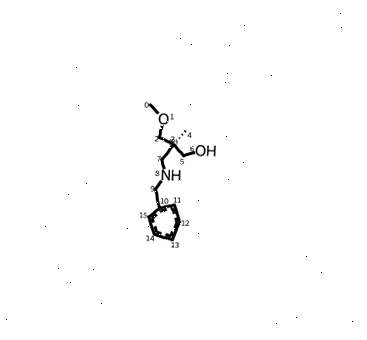 COC[C@@](C)(CO)CNCc1ccccc1